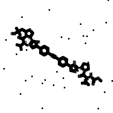 COC(=O)N[C@H](C(=O)N1CCC[C@H]1c1ncc(-c2ccc(C#Cc3ccc(-c4cnc([C@@H]5CSC(CC(C)(C)O)N5C(=O)[C@@H](C)C(C)C)[nH]4)cc3)cc2)[nH]1)C(C)C